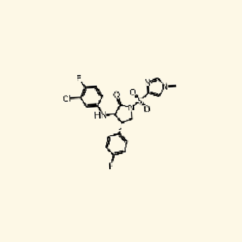 Cn1cnc(S(=O)(=O)N2C[C@H](c3ccc(F)cc3)[C@@H](Nc3ccc(F)c(Cl)c3)C2=O)c1